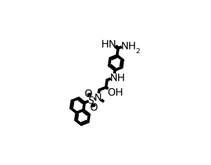 CN(CC(O)CNc1ccc(C(=N)N)cc1)S(=O)(=O)c1cccc2ccccc12